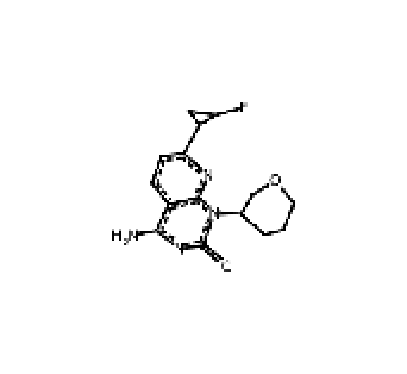 Nc1nc(=O)n([C@@H]2CCCOC2)c2nc(C3CC3F)ccc12